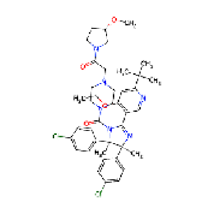 CCOc1cc(C(C)(C)C)ncc1C1=N[C@@](C)(c2ccc(Cl)cc2)[C@@](C)(c2ccc(Cl)cc2)N1C(=O)N1CCN(CC(=O)N2CC[C@H](OC)C2)CC1